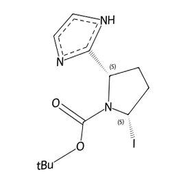 CC(C)(C)OC(=O)N1[C@@H](I)CC[C@H]1c1ncc[nH]1